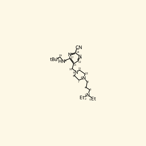 CCN(CC)CCCN1CCN(Cc2cnc(C#N)nc2NCC(C)(C)C)CC1